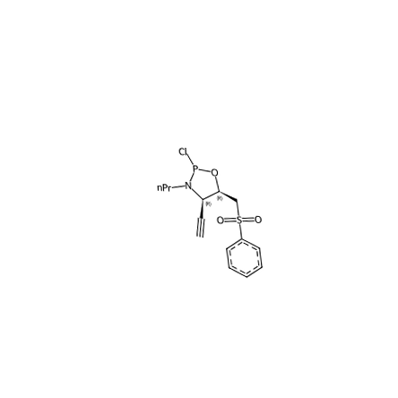 C#C[C@@H]1[C@H](CS(=O)(=O)c2ccccc2)OP(Cl)N1CCC